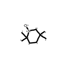 CC1(C)CCC(C)(C)N([O])C1